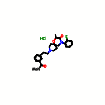 CNC(=O)c1cccc(CCN2CCC3(CC2)CN(c2ccccc2F)C(=O)C(C)O3)c1.Cl